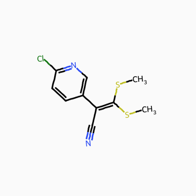 CSC(SC)=C(C#N)c1ccc(Cl)nc1